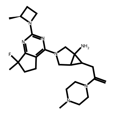 C=C(CC1C2CN(c3nc(N4CC[C@@H]4C)nc4c3CCC4(C)F)CC12N)N1CCN(C)CC1